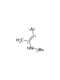 CCC(C)NC(C)=CC(C)=O